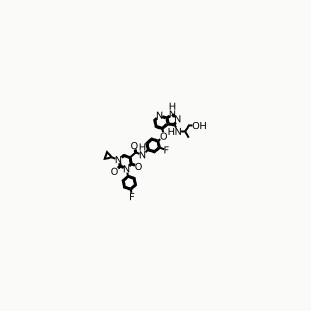 CC(CO)Nc1n[nH]c2nccc(Oc3ccc(NC(=O)c4cn(C5CC5)c(=O)n(-c5ccc(F)cc5)c4=O)cc3F)c12